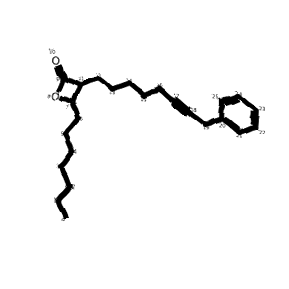 CCCCCCCC1OC(=O)C1CCCCCC#CCc1ccccc1